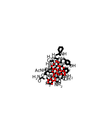 CC[C@H](C)[C@H](NC(=O)[C@H](Cc1c[nH]c2ccccc12)NC(=O)[C@H](Cc1ccccc1)NC(=O)[C@H](C)NC(=O)[C@H](CCC(N)=O)NC(=O)[C@H](CCCNC(=N)N)NC(C)=O)C(=O)N[C@@H](C)C(=O)N[C@@H](Cc1c[nH]c2ccccc12)C(=O)N[C@@H](Cc1ccc(O)cc1)C(=O)N[C@@H](CCCCN)C(=O)N[C@@H](CC(C)C)C(=O)N[C@@H](C)C(=O)N[C@@H](CC(N)=O)C(=O)N[C@@H](CO)C(=O)N[C@@H](CCCCN)C(N)=O